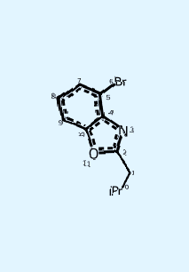 CC(C)Cc1nc2c(Br)cccc2o1